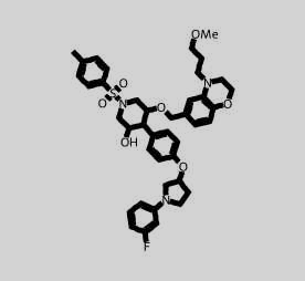 COCCCN1CCOc2ccc(COC3CN(S(=O)(=O)c4ccc(C)cc4)CC(O)C3c3ccc(OC4CCN(c5cccc(F)c5)C4)cc3)cc21